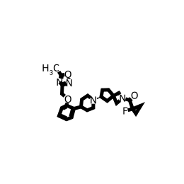 Cc1nc(COc2ccccc2C2CCN([C@@H]3CCC4(C3)CN(C(=O)C3(F)CC3)C4)CC2)no1